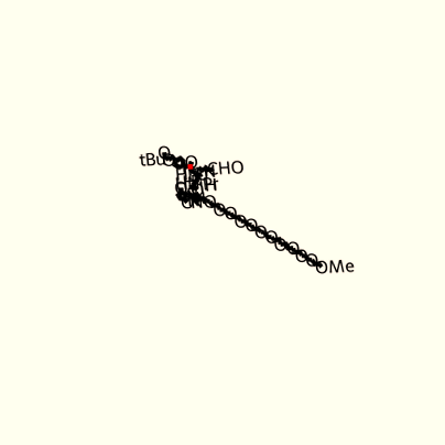 COCCOCCOCCOCCOCCOCCOCCOCCOCCOCCOCCOCCn1cc([C@@H](CC(=O)N[C@H](C(=O)N[C@@H](CCCNC=O)C(=O)Nc2ccc(COC(=O)C(C)(C)C)cc2)C(C)C)N2C(=O)C=CC2=O)nn1